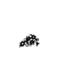 Cc1ccc(C(=O)N(c2ccccn2)C2CC2)cc1-c1cnc2oc(-c3ccc(F)cc3)c(C(=O)O)c2c1